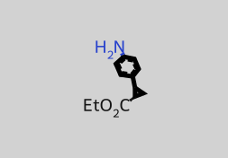 CCOC(=O)[C@@H]1CC1c1ccc(N)cc1